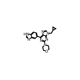 c1nc2cc(-c3nc(N4CCOCC4)nc4c3ncn4CC3CC3)ccc2[nH]1